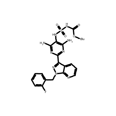 CC(C)(C)OC(=O)NS(=O)(=O)Nc1c(N)nc(-c2nn(Cc3ccccc3F)c3ncccc23)nc1N